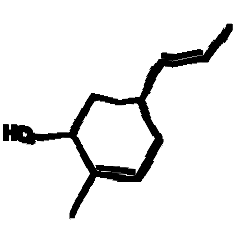 CC=CC1CC=C(C)C(O)C1